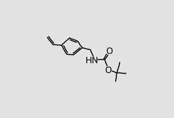 C=Cc1ccc(CNC(=O)OC(C)(C)C)cc1